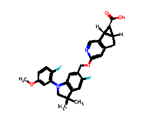 COc1ccc(F)c(N2CC(C)(C)c3cc(F)c(COc4cc5c(cn4)[C@H]4[C@@H](C5)[C@@H]4C(=O)O)cc32)c1